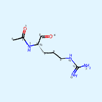 CC(=O)N[C@H]([C]=O)CCCNC(=N)N